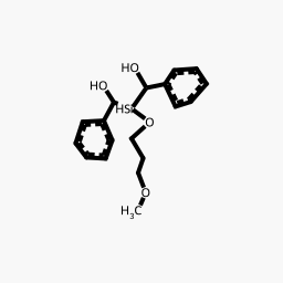 COCCCO[SiH](C(O)c1ccccc1)C(O)c1ccccc1